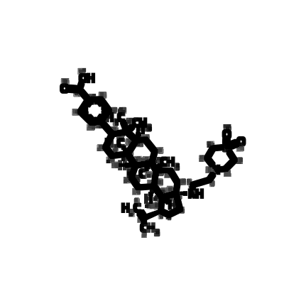 C=C(C)[C@@H]1CC[C@]2(NCCN3CCS(=O)(=O)CC3)CC[C@]3(C)[C@H](CC[C@@H]4[C@@]5(C)CCC(c6ccc(C(=O)O)cc6)C(C)(C)[C@@H]5CC[C@]43C)[C@@H]12